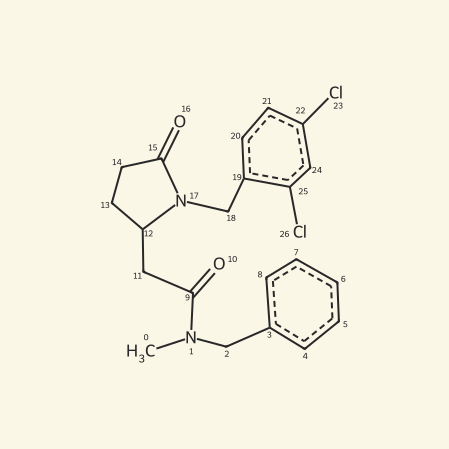 CN(Cc1ccccc1)C(=O)CC1CCC(=O)N1Cc1ccc(Cl)cc1Cl